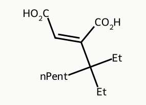 CCCCCC(CC)(CC)C(=CC(=O)O)C(=O)O